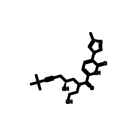 Cc1cn(-c2ccc(C(=O)N(CCO)C[C@H](O)CC#C[Si](C)(C)C)[nH]c2=O)cn1